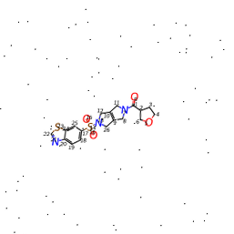 O=C(C1CCOC1)N1CC2=C(C1)CN(S(=O)(=O)c1ccc3ncsc3c1)C2